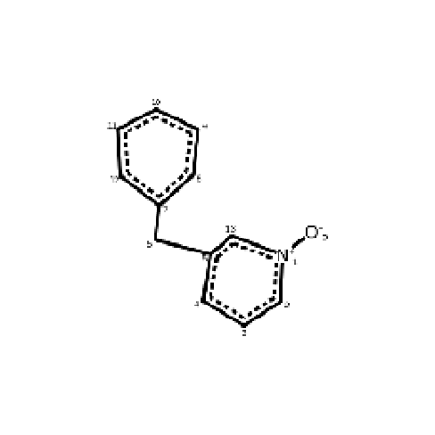 [O-][n+]1cccc(Cc2ccccc2)c1